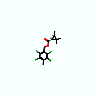 Cc1c(F)c(F)c(COC(=O)[C@@H]2[C@@H](C)C2(C)C)c(F)c1F